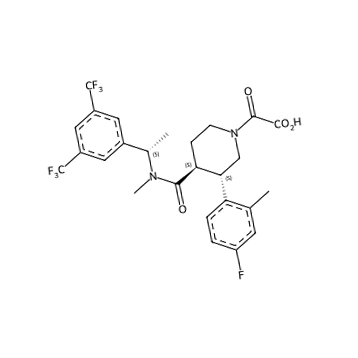 Cc1cc(F)ccc1[C@H]1CN(C(=O)C(=O)O)CC[C@@H]1C(=O)N(C)[C@@H](C)c1cc(C(F)(F)F)cc(C(F)(F)F)c1